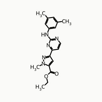 CCOC(=O)c1cc(-c2ccnc(Nc3cc(C)cc(C)c3)n2)nn1C